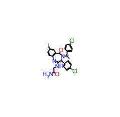 C[C@H](c1ccc(Cl)cc1)N1C(=O)c2cc(I)ccc2N=C(NCC(N)=O)[C@@H]1c1ccc(Cl)cc1